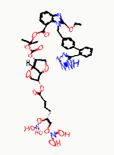 CCOc1nc2cccc(C(=O)OC(C)(C)OC(=O)O[C@@H]3COC4[C@H](OC(=O)CCC[C@H](CON(O)O)ON(O)O)CO[C@@H]43)c2n1Cc1ccc(-c2ccccc2-c2nnn[nH]2)cc1